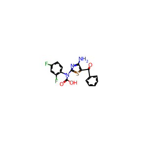 Nc1nc(N(C(=O)O)c2ccc(F)cc2F)sc1C(=O)c1ccccc1